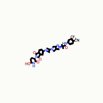 CC(C)(C(=O)Nc1ccc(C#N)c(C(F)(F)F)c1)n1cc2c(n1)CN(C1CN(c3ccc4c(c3)C(=O)N(C3CCC(O)NC3=O)C4=O)C1)C2